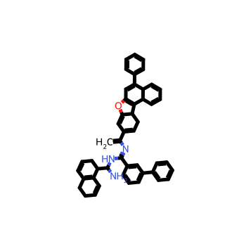 C=C(/N=C(\NC(N)C1CC=CC2=C1C=CCC2)c1cccc(-c2ccccc2)c1)C1=CCC2C(=C1)OC1=C2C2C=CC=CC2C(c2ccccc2)=C1